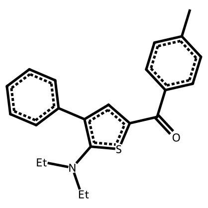 CCN(CC)c1sc(C(=O)c2ccc(C)cc2)cc1-c1ccccc1